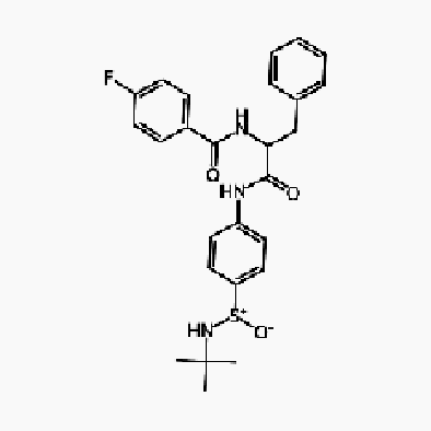 CC(C)(C)N[S+]([O-])c1ccc(NC(=O)C(Cc2ccccc2)NC(=O)c2ccc(F)cc2)cc1